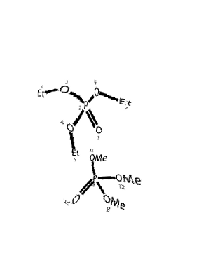 CCOP(=O)(OCC)OCC.COP(=O)(OC)OC